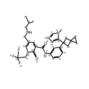 CC(C)CNCc1cc(C(=O)Nc2cccc(C3(c4nncn4C)CC4(CC4)C3)c2)c(=O)n(CC(F)(F)F)c1